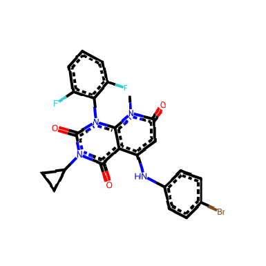 Cn1c(=O)cc(Nc2ccc(Br)cc2)c2c(=O)n(C3CC3)c(=O)n(-c3c(F)cccc3F)c21